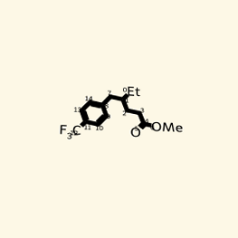 CCC(CCC(=O)OC)Cc1ccc(C(F)(F)F)cc1